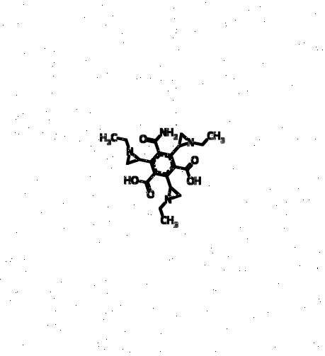 CCN1CC1c1c(C(N)=O)c(C2CN2CC)c(C(=O)O)c(C2CN2CC)c1C(=O)O